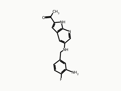 CC(=O)c1cc2cc(NCc3ccc(F)c(N)c3)cnc2[nH]1